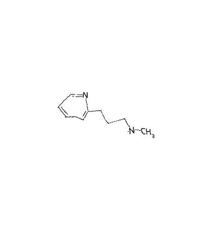 C[N]CCCc1ccccn1